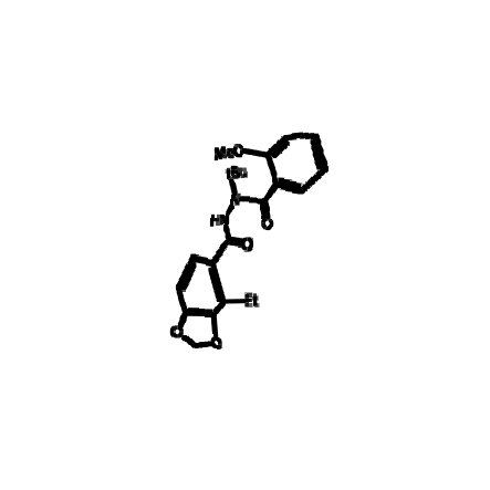 CCc1c(C(=O)NN(C(=O)c2ccccc2OC)C(C)(C)C)ccc2c1OCO2